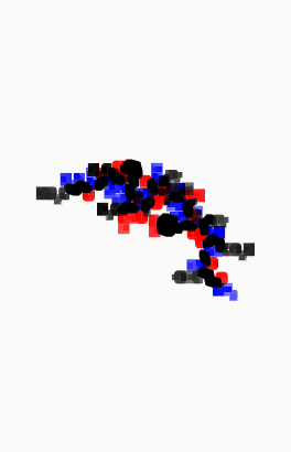 CC(C)C[C@H](NC(=O)[C@H](Cc1ccc(O)cc1)NC(=O)[C@H](CO)NC(=O)[C@H](CO)NC(=O)[C@@H](NC(=O)[C@H](CC(=O)O)NC(=O)[C@H](CO)NC(=O)[C@@H](NC(=O)[C@H](Cc1ccccc1)NC(=O)[C@@H](NC(=O)CNC(=O)[C@@H](N)CCC(=O)O)[C@@H](C)O)[C@@H](C)O)C(C)C)C(=O)N[C@@H](CCC(=O)O)C(=O)NCC(=O)N[C@H]([C]=O)CCC(N)=O